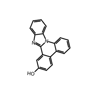 Oc1ccc2c3ccccc3n3c4ccccc4nc3c2c1